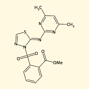 COC(=O)c1ccccc1S(=O)(=O)n1ncsc1=Nc1nc(C)cc(C)n1